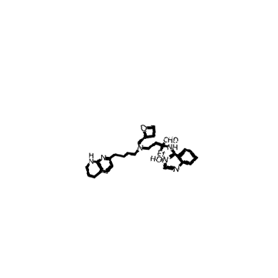 CCC(C=O)(CCN(CCCCc1ccc2c(n1)NCCC2)CC1CCO1)Nc1c2ccccc2nc[n+]1O